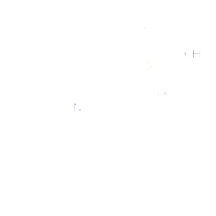 CS(=O)(=O)C1CCN(c2cc[c]cc2)C1